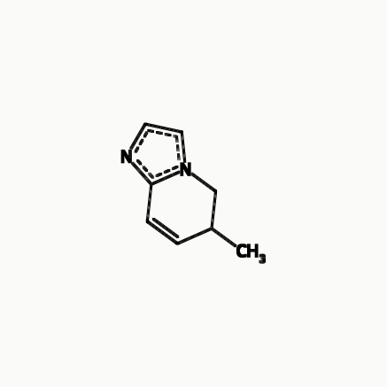 CC1C=Cc2nccn2C1